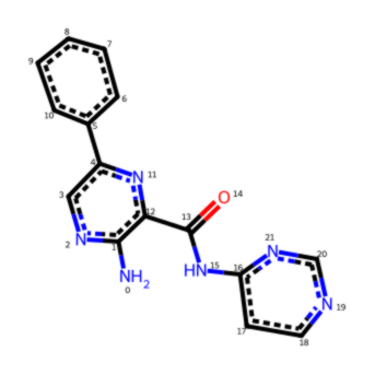 Nc1ncc(-c2ccccc2)nc1C(=O)Nc1ccncn1